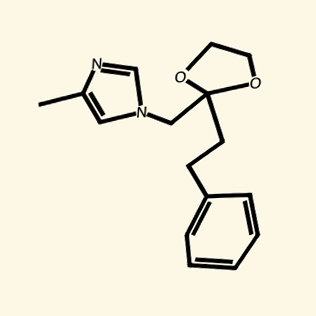 Cc1cn(CC2(CCc3ccccc3)OCCO2)cn1